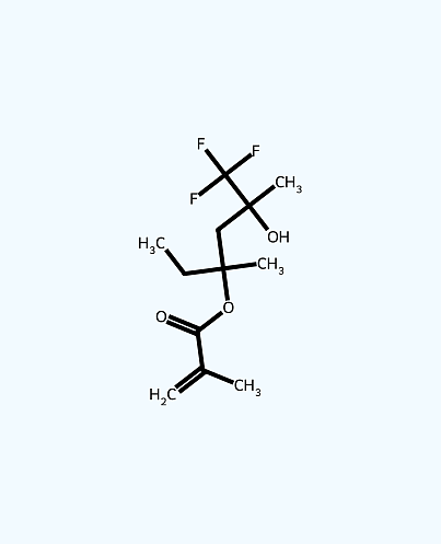 C=C(C)C(=O)OC(C)(CC)CC(C)(O)C(F)(F)F